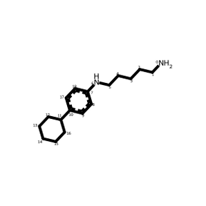 NCCCCCNc1ccc(C2CCCCC2)cc1